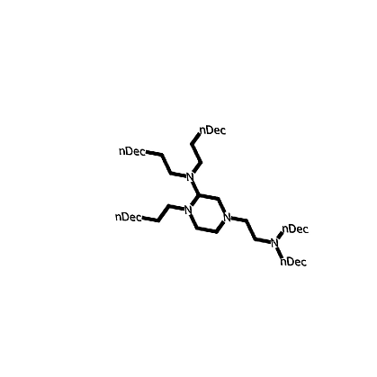 CCCCCCCCCCCCN(CCCCCCCCCCCC)C1CN(CCN(CCCCCCCCCC)CCCCCCCCCC)CCN1CCCCCCCCCCCC